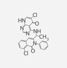 CC(Nc1ncnc2[nH]cc(Cl)c(=O)c12)c1cc2cccc(Cl)c2c(=O)n1-c1ccccc1